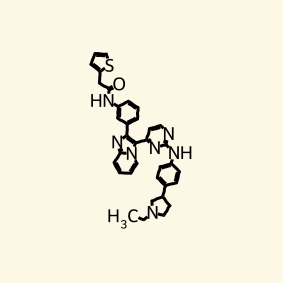 CCN1CCC(c2ccc(Nc3nccc(-c4c(-c5cccc(NC(=O)Cc6cccs6)c5)nc5ccccn45)n3)cc2)C1